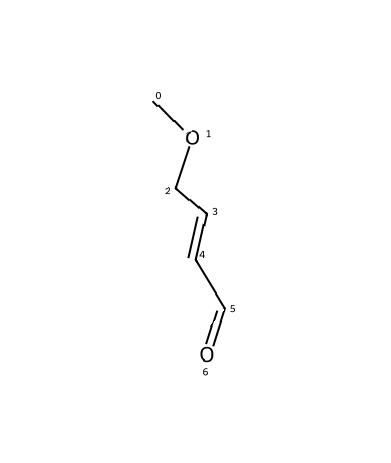 COC/C=C/C=O